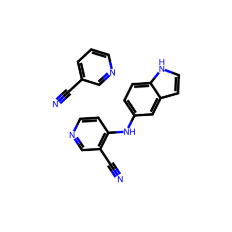 N#Cc1cccnc1.N#Cc1cnccc1Nc1ccc2[nH]ccc2c1